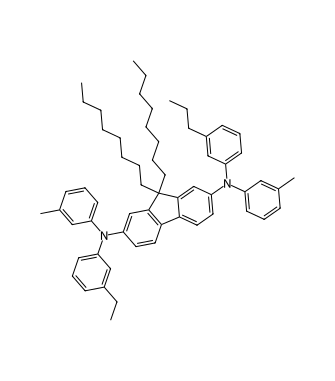 CCCCCCCCC1(CCCCCCCC)c2cc(N(c3cccc(C)c3)c3cccc(CC)c3)ccc2-c2ccc(N(c3cccc(C)c3)c3cccc(CCC)c3)cc21